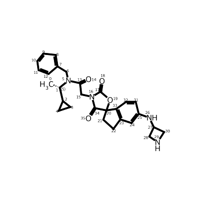 C[C@@H](C1CC1)N(Cc1ccccc1)C(=O)CN1C(=O)OC2(CCc3cc(NC4CNC4)ccc32)C1=O